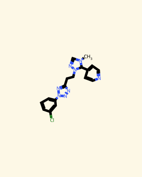 CN1[C]=NN(CCc2nnn(-c3cccc(Cl)c3)n2)C1c1ccncc1